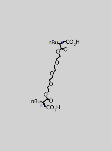 CCCC/C(=C/C(=O)O)C(=O)OCCOCCOCCOCCOC(=O)/C(=C\C(=O)O)CCCC